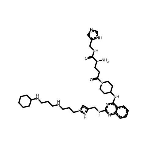 N[C@@H](CCC(=O)N1CCC(Nc2nc(NCc3cn(CCCNCCCNC4CCCCC4)[nH]3)nc3ccccc23)CC1)C(=O)NCc1cnc[nH]1